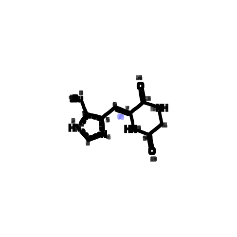 CC(C)(C)c1[nH]cnc1/C=C1\NC(=O)CNC1=O